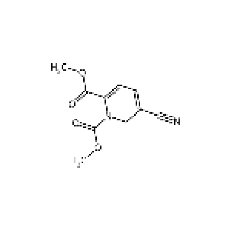 COC(=O)C1=CC=C(C#N)CN1C(=O)OC